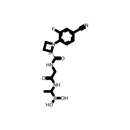 CC(NC(=O)CNC(=O)[C@@H]1CCN1c1ccc(C#N)cc1F)B(O)O